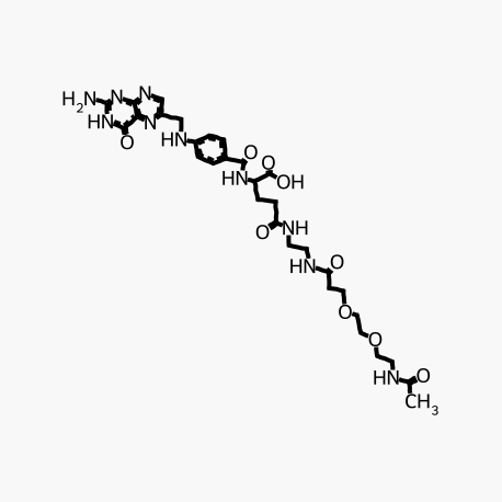 CC(=O)NCCOCCOCCC(=O)NCCNC(=O)CCC(NC(=O)c1ccc(NCc2cnc3nc(N)[nH]c(=O)c3n2)cc1)C(=O)O